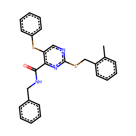 Cc1ccccc1CSc1ncc(Sc2ccccc2)c(C(=O)NCc2ccccc2)n1